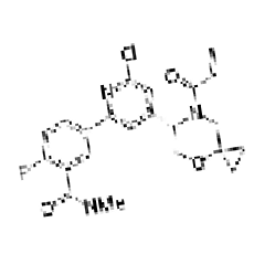 C=CC(=O)N1CC2(CC2)OC[C@@H]1c1cc(Cl)nc(-c2ccc(F)c(C(=O)NC)c2)c1